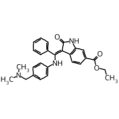 CCOC(=O)c1ccc2c(c1)NC(=O)C2=C(Nc1ccc(CN(C)C)cc1)c1ccccc1